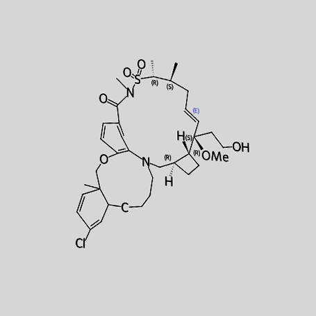 CO[C@]1(CCO)/C=C/C[C@H](C)[C@@H](C)S(=O)(=O)N(C)C(=O)c2ccc3c(c2)N(CCCCC2C=C(Cl)C=CC2(C)CO3)C[C@@H]2CC[C@H]21